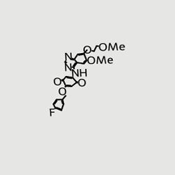 COCCOc1cc2ncnc(NC3=CC(=O)C(OCc4ccc(F)cc4)=CC3=O)c2cc1OC